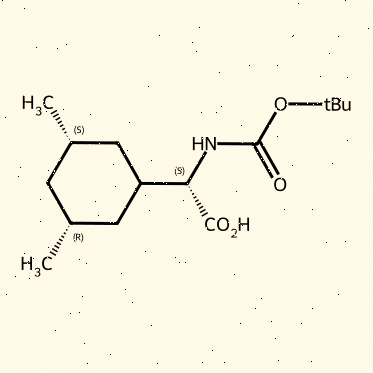 C[C@@H]1CC([C@H](NC(=O)OC(C)(C)C)C(=O)O)C[C@H](C)C1